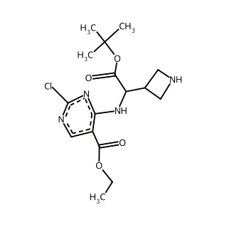 CCOC(=O)c1cnc(Cl)nc1NC(C(=O)OC(C)(C)C)C1CNC1